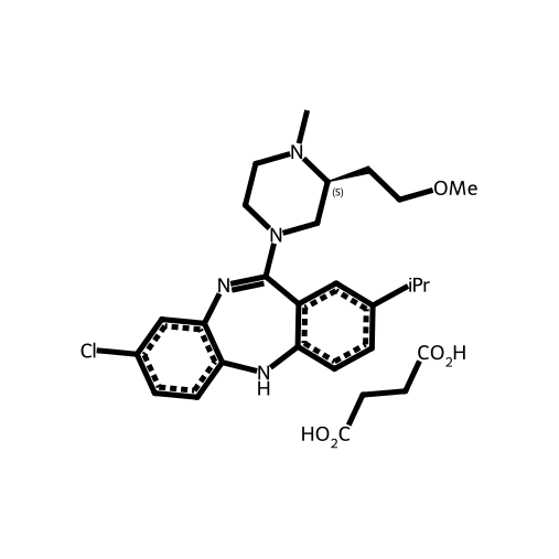 COCC[C@H]1CN(C2=Nc3cc(Cl)ccc3Nc3ccc(C(C)C)cc32)CCN1C.O=C(O)CCC(=O)O